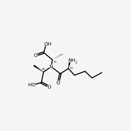 CCCC[C@H](N)C(=O)N([C@H](C)C(=O)O)[C@@H](C)C(=O)O